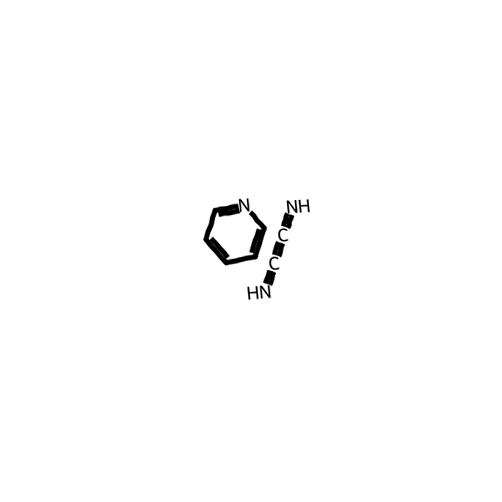 N=C=C=N.c1ccncc1